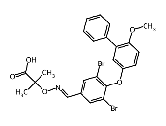 COc1ccc(Oc2c(Br)cc(C=NOC(C)(C)C(=O)O)cc2Br)cc1-c1ccccc1